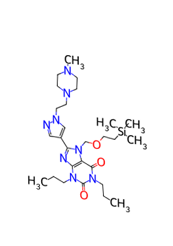 CCCn1c(=O)c2c(nc(-c3cnn(CCN4CCN(C)CC4)c3)n2COCC[Si](C)(C)C)n(CCC)c1=O